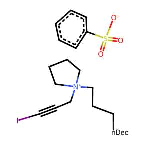 CCCCCCCCCCCCC[N+]1(CC#CI)CCCC1.O=S(=O)([O-])c1ccccc1